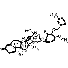 COc1ccc([C@H]2O[C@@H]3C[C@H]4[C@@H]5CCC6=CC(=O)C=C[C@]6(C)[C@H]5[C@@H](O)C[C@]4(C)[C@]3(C(=O)CO)O2)c(F)c1OCc1cccc(N)c1